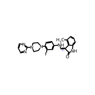 Cc1cccc2c1/C(=C\Nc1ccc(N3CCN(c4ncccn4)CC3)c(F)c1)C(=O)N2